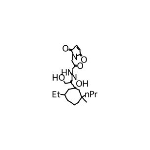 CCCC1(C)CCCC(CC)CC(O)(/C(CO)=N/NC(=O)CN2C(=O)C=CC2=O)C1